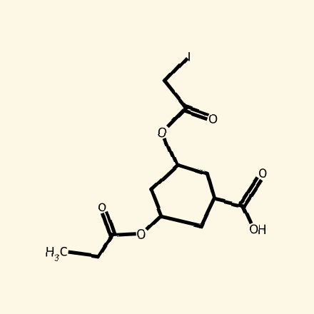 CCC(=O)OC1CC(OC(=O)CI)CC(C(=O)O)C1